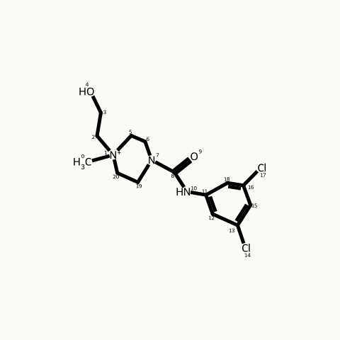 C[N+]1(CCO)CCN(C(=O)Nc2cc(Cl)cc(Cl)c2)CC1